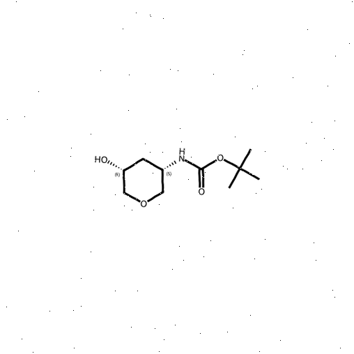 CC(C)(C)OC(=O)N[C@@H]1COC[C@H](O)C1